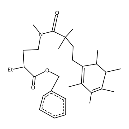 CCC(CCN(C)C(=O)C(C)(C)CCC1=C(C)C(C)=C(C)C(C)C1C)C(=O)OCc1ccccc1